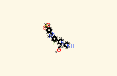 COCC[C@H]1CC(c2cc3nc(-c4ccc(S(C)(=O)=O)cc4)n(C)c3cc2F)CCN1C1CCNCC1